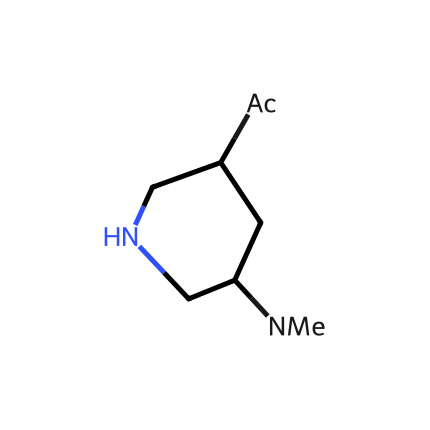 CNC1CNCC(C(C)=O)C1